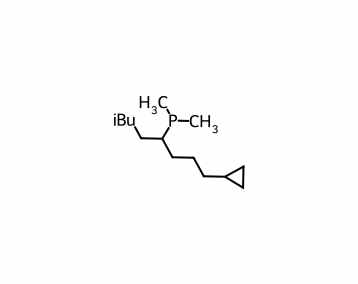 CCC(C)CC(CCCC1CC1)P(C)C